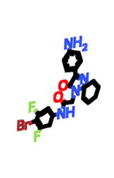 Nc1ccc(C2=NC3(CCCCC3)N(CC(=O)NC3C=C(F)C(Br)=C(F)C3)C2=O)cc1